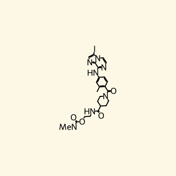 CNC(=O)OCCNC(=O)C1CCN(C(=O)c2ccc(Nc3nccn4c(I)cnc34)cc2C)CC1